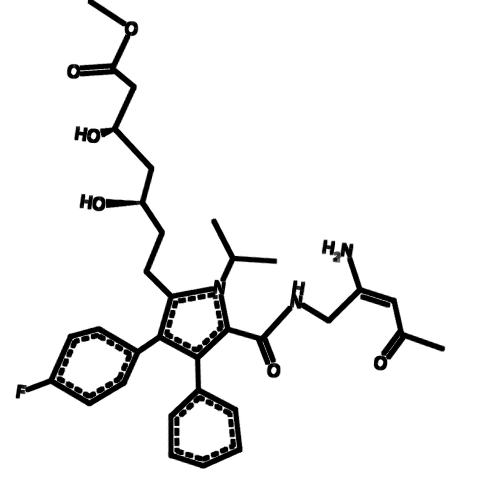 COC(=O)C[C@H](O)C[C@H](O)CCc1c(-c2ccc(F)cc2)c(-c2ccccc2)c(C(=O)NC/C(N)=C\C(C)=O)n1C(C)C